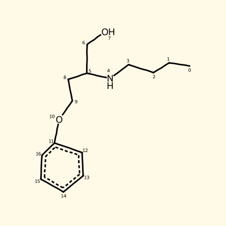 CCCCNC(CO)CCOc1ccccc1